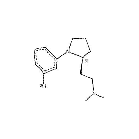 [2H]c1cccc(N2CCC[C@H]2CCN(C)C)c1